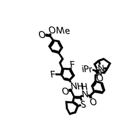 COC(=O)c1ccc(CCc2c(F)cc(NC(=O)c3c(NC(=O)c4cccc(CN5CC6CCC(C5)N6C(=O)C(C)C)c4)sc4c3CCCC4)cc2F)cc1